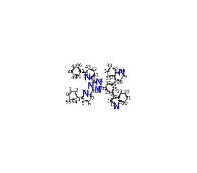 c1ccc(-c2cccc(-c3nc(-c4cc(-c5ccnc6ccccc56)cc(-c5ccnc6ccccc56)c4)nc(-c4cccc(-c5ccccc5)n4)n3)n2)cc1